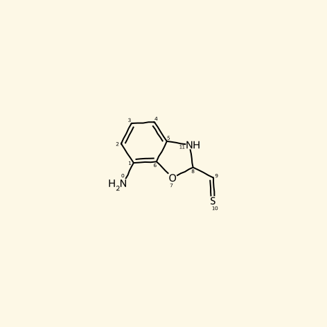 Nc1cccc2c1OC(C=S)N2